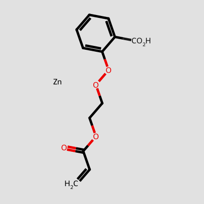 C=CC(=O)OCCOOc1ccccc1C(=O)O.[Zn]